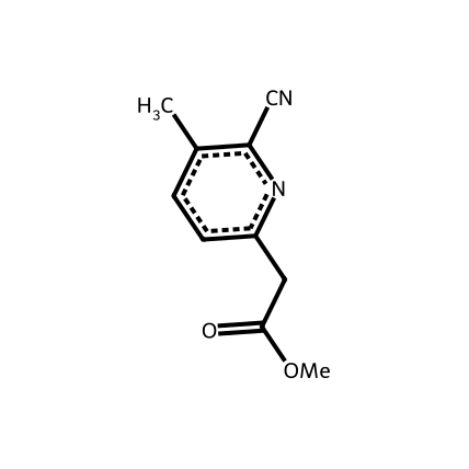 COC(=O)Cc1ccc(C)c(C#N)n1